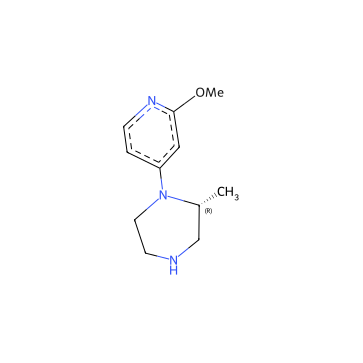 COc1cc(N2CCNC[C@H]2C)ccn1